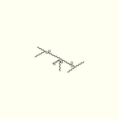 CCCCCCCCC(CCCCCC)COC(=O)CCCCCCCCC(CCCCCCCCC(=O)OCC(CCCCCC)CCCCCCCC)N(CCCN(C)C)C(=O)CCCCCC